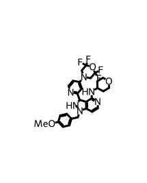 COc1ccc(CN2NC(c3cc(N4CC(F)(F)OC(F)(F)C4)ccn3)c3c2ccnc3NC2CCOCC2)cc1